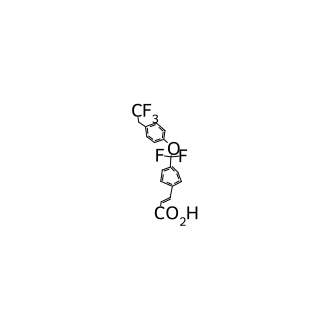 O=C(O)/C=C/c1ccc(C(F)(F)Oc2ccc(CC(F)(F)F)cc2)cc1